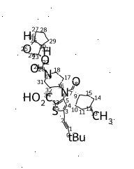 CC(C)(C)C#Cc1cc(N(C(=O)[C@H]2CC[C@H](C)CC2)C2CCN(C(=O)O[C@H]3CO[C@H]4CCC[C@H]43)CC2)c(C(=O)O)s1